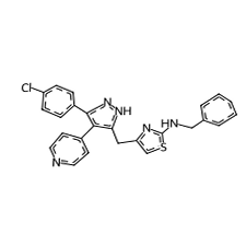 Clc1ccc(-c2n[nH]c(Cc3csc(NCc4ccccc4)n3)c2-c2ccncc2)cc1